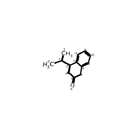 CC(C)C1CC(=O)Cc2ccccc21